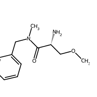 COC[C@@H](N)C(=O)N(C)Cc1ccccc1